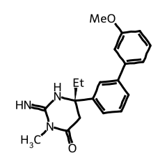 CC[C@@]1(c2cccc(-c3cccc(OC)c3)c2)CC(=O)N(C)C(=N)N1